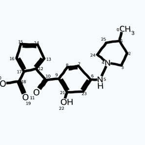 CC1CCN(Nc2ccc(C(=O)c3ccccc3C(=O)O)c(O)c2)CC1